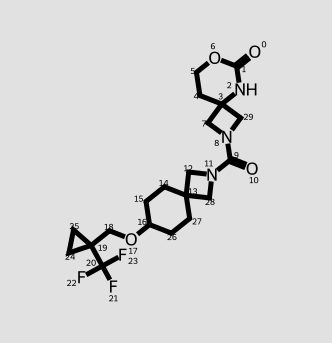 O=C1NC2(CCO1)CN(C(=O)N1CC3(CCC(OCC4(C(F)(F)F)CC4)CC3)C1)C2